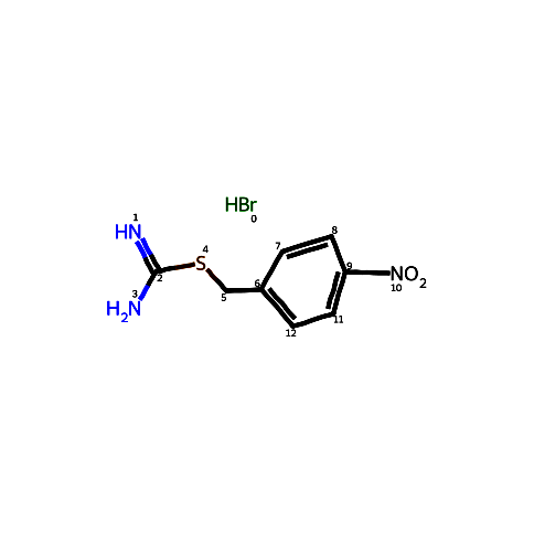 Br.N=C(N)SCc1ccc([N+](=O)[O-])cc1